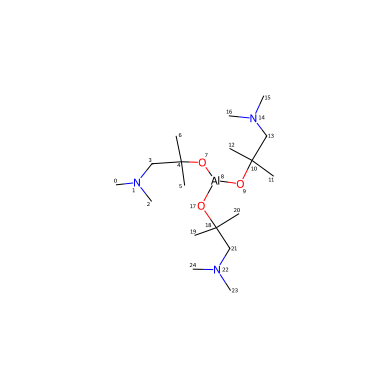 CN(C)CC(C)(C)[O][Al]([O]C(C)(C)CN(C)C)[O]C(C)(C)CN(C)C